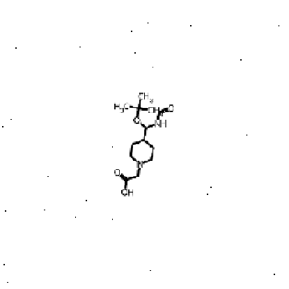 CC(C)(C)OC(NC=O)C1CCN(CC(=O)O)CC1